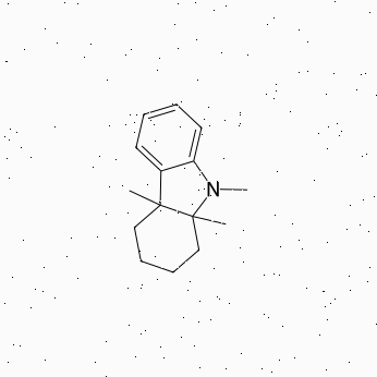 CN1c2ccccc2C2(C)CCCCC12C